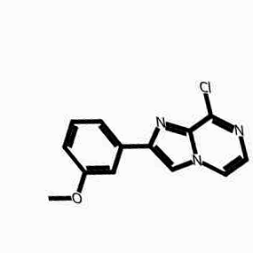 COc1cccc(-c2cn3ccnc(Cl)c3n2)c1